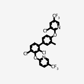 Cc1cc(-c2[c]cc(Cl)c(Oc3ccc(C(F)(F)F)cn3)c2Cl)ccc1Oc1ncc(C(F)(F)F)cc1Cl